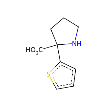 O=C(O)C1(c2cccs2)CCCN1